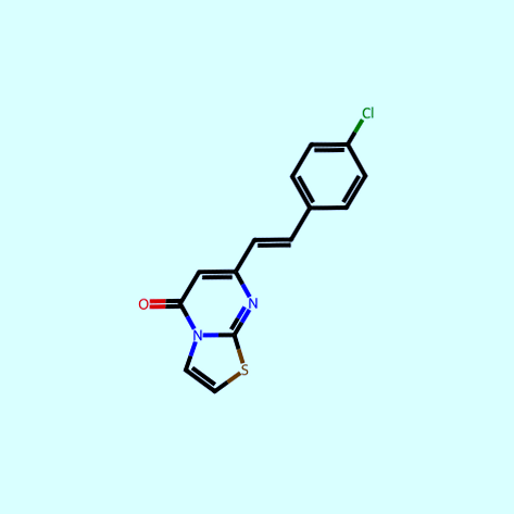 O=c1cc(C=Cc2ccc(Cl)cc2)nc2sccn12